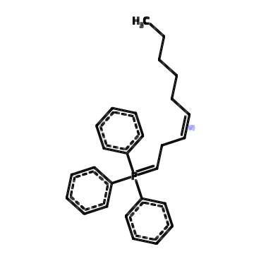 CCCCC/C=C\CC=P(c1ccccc1)(c1ccccc1)c1ccccc1